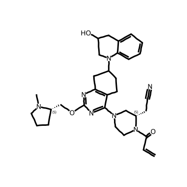 C=CC(=O)N1CCN(c2nc(OC[C@@H]3CCCN3C)nc3c2CCC(N2CC(O)Cc4ccccc42)C3)C[C@@H]1CC#N